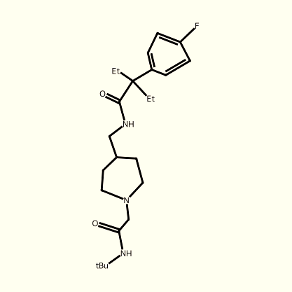 CCC(CC)(C(=O)NCC1CCN(CC(=O)NC(C)(C)C)CC1)c1ccc(F)cc1